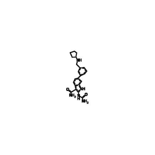 NC(=O)Nc1[nH]c2cc(-c3cccc(CNC4CCCC4)c3)ccc2c1C(N)=O